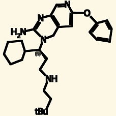 CC(C)(C)CCNCC[C@@H](C1CCCCC1)N1Cc2cc(Oc3ccccc3)ncc2N=C1N